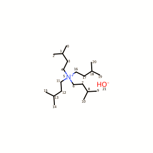 CC(C)CC[N+](CCC(C)C)(CCC(C)C)CCC(C)C.[OH-]